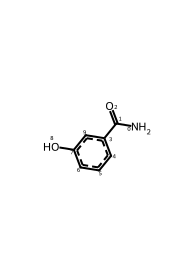 NC(=O)c1cccc(O)c1